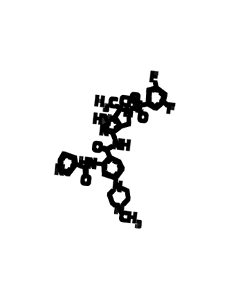 CN1CCN(c2ccc(C(=O)Nc3n[nH]c4c3CN(S(=O)(=O)c3cc(F)cc(F)c3)C4(C)C)c(NC(=O)c3cccnc3)c2)CC1